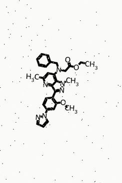 CCOC(=O)CN(Cc1ccccc1)c1cc(C)nc2c(-c3ccc(-n4cccn4)cc3OC)nn(C)c12